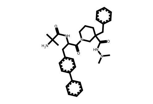 CN(C)NC(=O)C1(Cc2ccccc2)CCCN(C(=O)C(Cc2ccc(-c3ccccc3)cc2)NC(=O)C(C)(C)N)C1